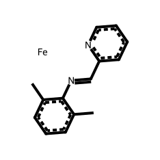 Cc1cccc(C)c1N=Cc1ccccn1.[Fe]